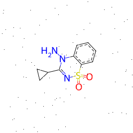 NN1C(C2CC2)=NS(=O)(=O)c2ccccc21